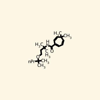 CCCC(C)(C)OCCC(C)(C)NC(=O)C1=CC=CC(C)(C)C=C1